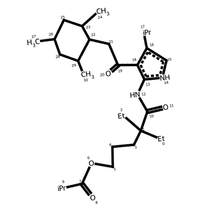 CCC(CC)(CCCOC(=O)C(C)C)C(=O)Nc1[nH]cc(C(C)C)c1C(=O)CC1C(C)CC(C)CC1C